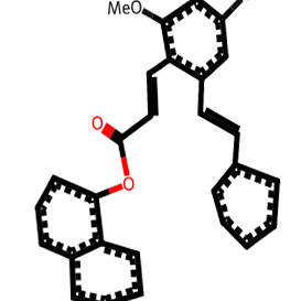 COc1cc(/C=C/c2ccccc2)c(/C=C/C(=O)Oc2cccc3ccccc23)c(OC)c1